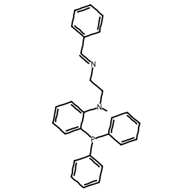 CN(CC/N=C/c1ccccc1)c1ccccc1P(c1ccccc1)c1ccccc1